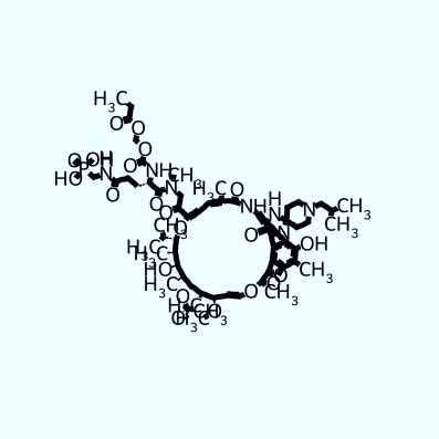 CCC(=O)OCOC(=O)N[C@@H](CCC(=O)NCP(=O)(O)O)C(=O)N(C)CC(=O)/C1=C\C=C(\C)C(=O)NC2=C3NC4(CCN(CC(C)C)CC4)N=C3c3c(c(O)c(C)c4c3C(=O)[C@@](C)(O/C=C/[C@H](OC)[C@@H](C)[C@@H](OC(C)=O)[C@H](C)[C@H](O)[C@H](C)[C@H](C(C)C)O1)O4)C2=O